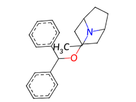 CCN1C2CCC1CC(OC(c1ccccc1)c1ccccc1)C2